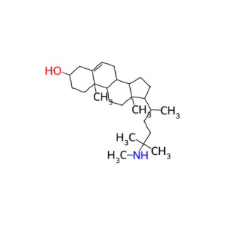 CNC(C)(C)CCC(C)C1CCC2C3CC=C4CC(O)CCC4(C)C3CCC12C